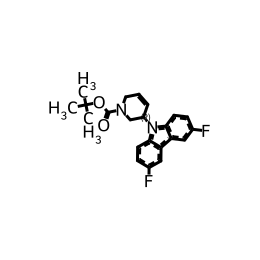 CC(C)(C)OC(=O)N1CC=C[C@@H](n2c3ccc(F)cc3c3cc(F)ccc32)C1